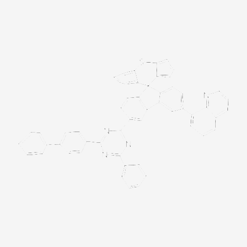 c1ccc(-c2ccc(-c3nc(-c4ccccc4)nc(-c4ccc5c(c4)-c4cc(-c6cccc7cccnc67)ccc4C54c5ccccc5Sc5ccccc54)n3)cc2)cc1